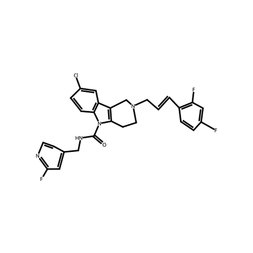 O=C(NCc1ccnc(F)c1)n1c2c(c3cc(Cl)ccc31)CN(CC=Cc1ccc(F)cc1F)CC2